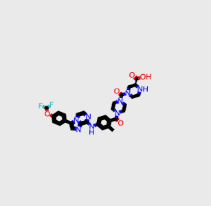 Cc1cc(Nc2nccn3c(-c4ccc(OC(F)F)cc4)cnc23)ccc1C(=O)N1CCN(C(=O)N2CCN[C@H](C(=O)O)C2)CC1